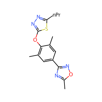 CCCc1nnc(Oc2c(C)cc(-c3noc(C)n3)cc2C)s1